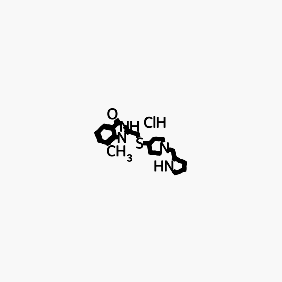 Cc1cccc2c(=O)[nH]c(CSC3CCN(CC4CCCN4)CC3)nc12.Cl